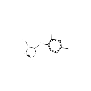 Cc1cc(I)ccc1NC1NN=NN1Cl